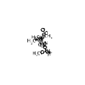 CC[C@@H](C)[C@@H](COC(=O)NS(=O)(=O)c1ccc(-n2nc(C(F)(F)F)cc2-c2ccc(C)cc2)cc1)N(C)[N+]([O-])=NOC(C)OC(=O)c1ccccc1